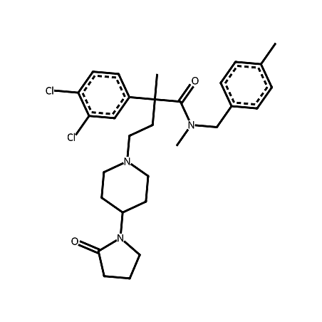 Cc1ccc(CN(C)C(=O)C(C)(CCN2CCC(N3CCCC3=O)CC2)c2ccc(Cl)c(Cl)c2)cc1